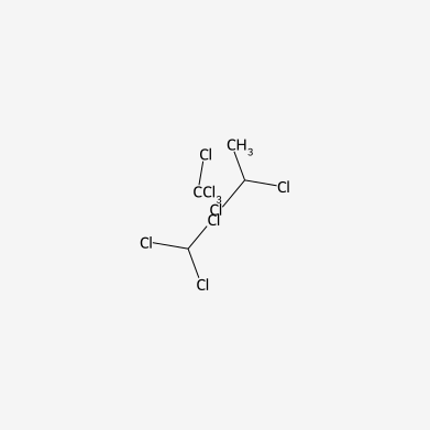 CC(Cl)Cl.ClC(Cl)(Cl)Cl.ClC(Cl)Cl